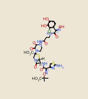 CC(C)(O/N=C(\C(=O)N[C@@H]1C(=O)N2C[C@@](C(=O)O)(N3CCN(NC(=O)CCNC(=O)/C(=N/O)c4ccc(O)c(O)c4Cl)C(=O)C3=O)S[C@H]12)c1csc(N)n1)C(=O)O